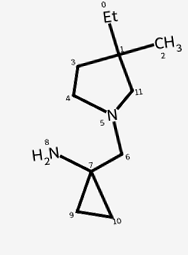 CCC1(C)CCN(CC2(N)CC2)C1